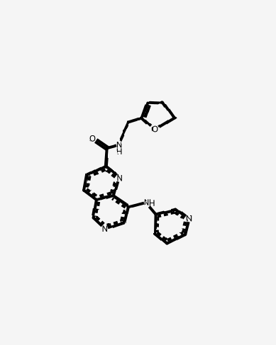 O=C(NCC1=CCCO1)c1ccc2cncc(Nc3cccnc3)c2n1